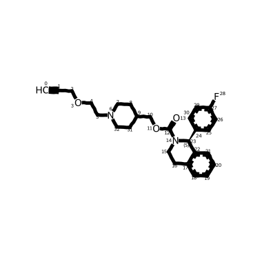 C#CCOCCN1CCC(COC(=O)N2CCc3ccccc3[C@@H]2c2ccc(F)cc2)CC1